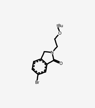 CC(C)(C)OCCN1Cc2ccc(Br)cc2C1=O